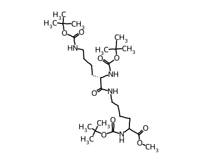 COC(=O)C(CCCCNC(=O)[C@H](CCCCNC(=O)OC(C)(C)C)NC(=O)OC(C)(C)C)NC(=O)OC(C)(C)C